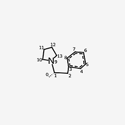 C[C@@H](Cc1ccccc1)N1CCCC1